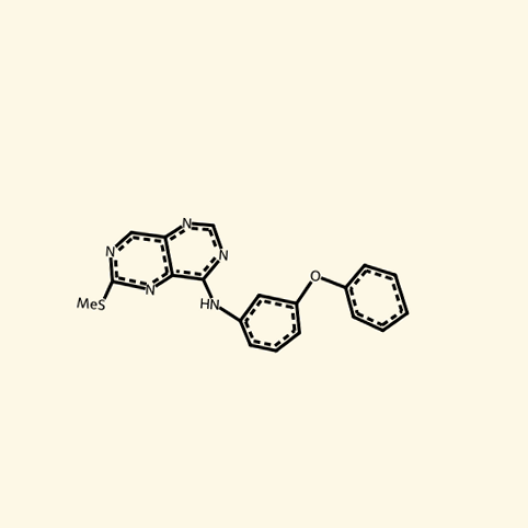 CSc1ncc2ncnc(Nc3cccc(Oc4ccccc4)c3)c2n1